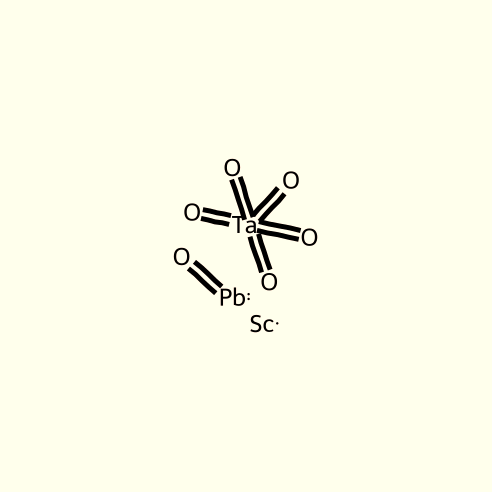 [O]=[Pb].[O]=[Ta](=[O])(=[O])(=[O])=[O].[Sc]